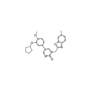 COc1ccc(-c2cnc(=O)n(Cc3nc4ccc(C)cc4o3)c2)cc1OC1CCCC1